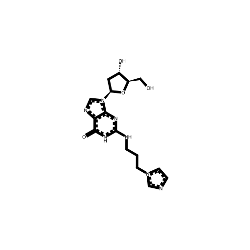 O=c1[nH]c(NCCCn2ccnc2)nc2c1ncn2[C@H]1C[C@H](O)[C@@H](CO)O1